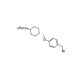 CCCCC[C@H]1CC[C@H](COc2ccc(CBr)cc2)CC1